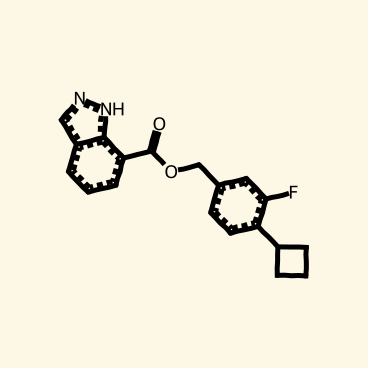 O=C(OCc1ccc(C2CCC2)c(F)c1)c1cccc2cn[nH]c12